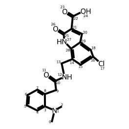 CN(C)c1ccccc1CC(=O)NCc1cc(Cl)cc2cc(C(=O)O)c(=O)[nH]c12